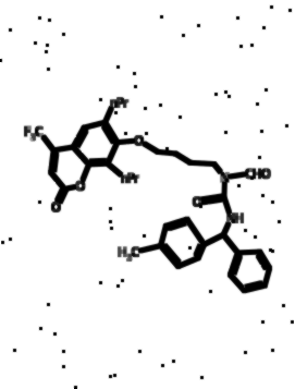 CCCc1cc2c(C(F)(F)F)cc(=O)oc2c(CCC)c1OCCCCN(C=O)C(=O)NC(c1ccccc1)c1ccc(C)cc1